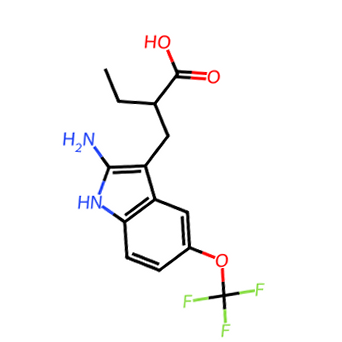 CCC(Cc1c(N)[nH]c2ccc(OC(F)(F)F)cc12)C(=O)O